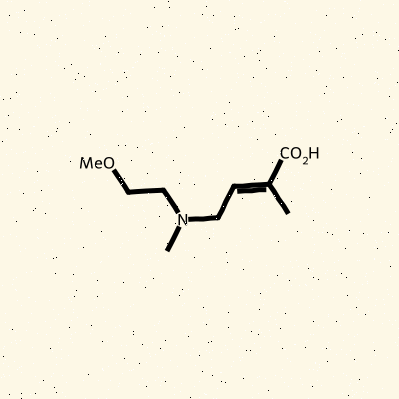 COCCN(C)C/C=C(\C)C(=O)O